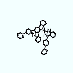 c1ccc(-c2ccc(-c3nc(-n4c5ccccc5c5cc6c7ccc(-c8ccccc8)cc7n7c8ccccc8c(c54)c67)nc4ccccc34)cc2)cc1